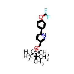 CC(C)(C)[Si](C)(C)OCc1ccc(-c2ccc(OC(F)F)cc2)nc1